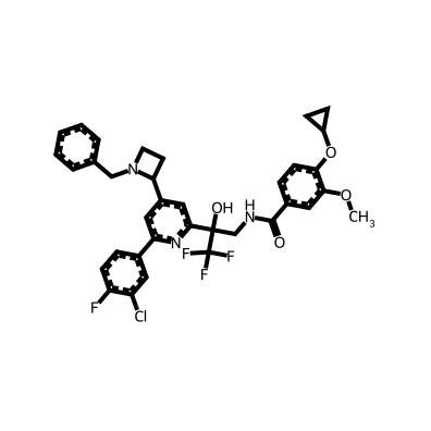 COc1cc(C(=O)NCC(O)(c2cc(C3CCN3Cc3ccccc3)cc(-c3ccc(F)c(Cl)c3)n2)C(F)(F)F)ccc1OC1CC1